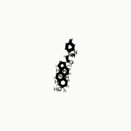 Cc1ccc2c(c1)nnn2CC(=O)[C@H]1CC[C@H]2[C@@H]3CC[C@H]4C[C@](C)(O)CC[C@]4(C)[C@H]3CC[C@]12C